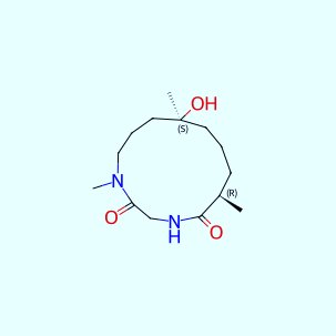 C[C@@H]1CCC[C@](C)(O)CCCN(C)C(=O)CNC1=O